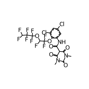 CN1C(=O)C(C(=O)Nc2cc(Cl)cc(Cl)c2OC(F)(F)C(F)OC(F)(F)C(F)(F)C(F)F)C(=O)N(C)C1=O